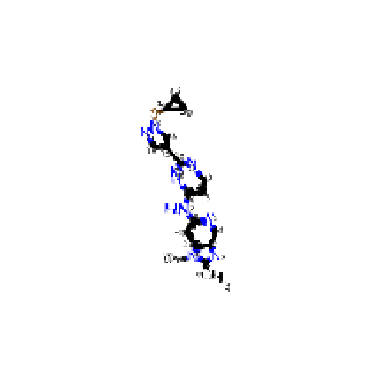 Cc1nc2cnc(Nc3ccnc(-c4cnn(SC5CC5)c4)n3)cc2n1C(C)C